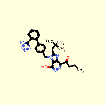 CCCC(=O)c1nnc(O)c2c1nc(CC(C)(C)C)n2Cc1ccc(-c2ccccc2-c2nnn[nH]2)cc1